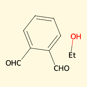 CCO.O=Cc1ccccc1C=O